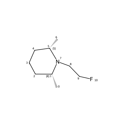 C[C@@H]1C[CH]C[C@H](C)N1CCF